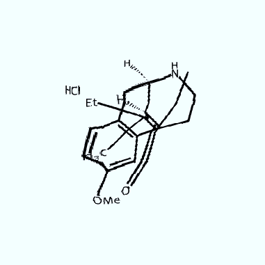 CCC1C(C)C(=O)C[C@]23CCN[C@H](Cc4ccc(OC)cc42)[C@H]13.Cl